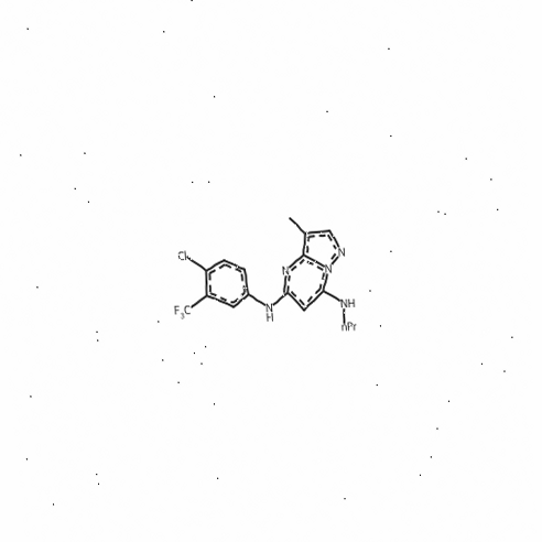 CCCNc1cc(Nc2ccc(Cl)c(C(F)(F)F)c2)nc2c(C)cnn12